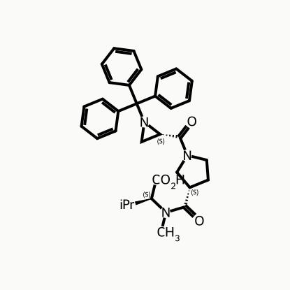 CC(C)[C@@H](C(=O)O)N(C)C(=O)[C@H]1CCN(C(=O)[C@@H]2CN2C(c2ccccc2)(c2ccccc2)c2ccccc2)C1